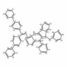 C(=C(c1ccc(-c2ccccc2)cc1)c1ccc(-c2ccccc2)cc1)c1cccc2c1OC1=C(C(Cc3ccccc3)c3ccccc31)N2c1ccccc1